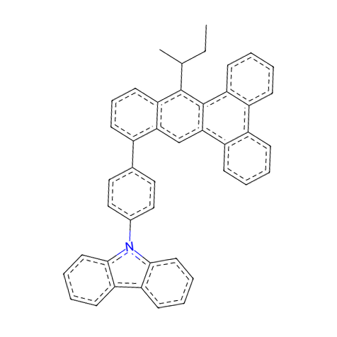 CCC(C)c1c2cccc(-c3ccc(-n4c5ccccc5c5ccccc54)cc3)c2cc2c3ccccc3c3ccccc3c12